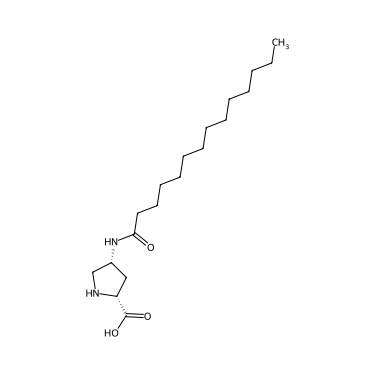 CCCCCCCCCCCCCC(=O)N[C@H]1CN[C@@H](C(=O)O)C1